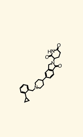 O=C1CCC(N2Cc3cc(C4CCN(Cc5ccccc5C5CC5)CC4)ccc3C2=O)C(=O)N1